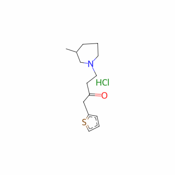 CC1CCCN(CCC(=O)Cc2cccs2)C1.Cl